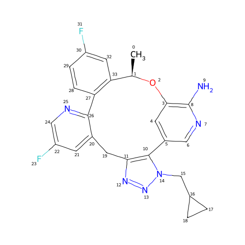 C[C@H]1Oc2cc(cnc2N)-c2c(nnn2CC2CC2)Cc2cc(F)cnc2-c2ccc(F)cc21